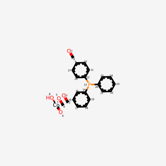 [C]=O.[C]=O.[C]=O.[O]=[Co][OH].c1ccc(P(c2ccccc2)c2ccccc2)cc1